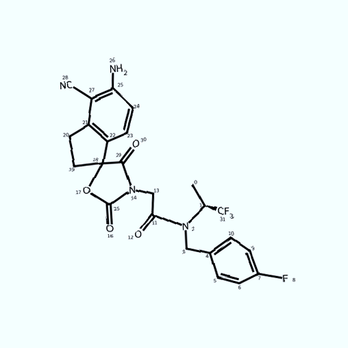 C[C@H](N(Cc1ccc(F)cc1)C(=O)CN1C(=O)OC2(CCc3c2ccc(N)c3C#N)C1=O)C(F)(F)F